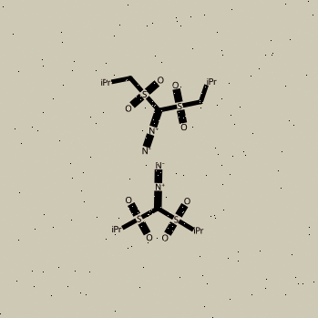 CC(C)CS(=O)(=O)C(=[N+]=[N-])S(=O)(=O)CC(C)C.CC(C)S(=O)(=O)C(=[N+]=[N-])S(=O)(=O)C(C)C